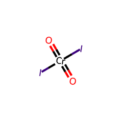 [O]=[Cr](=[O])([I])[I]